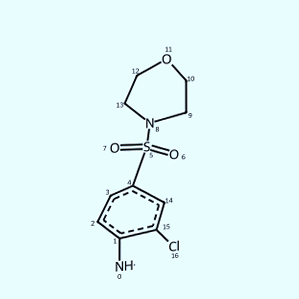 [NH]c1ccc(S(=O)(=O)N2CCOCC2)cc1Cl